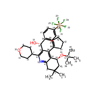 CC1(C)Cc2nc(C3CCOCC3)c([C@H](O)c3ccc(S(F)(F)(F)(F)F)cc3)c(C3=CCCC3)c2[C@@H](O[Si](C)(C)C(C)(C)C)C1